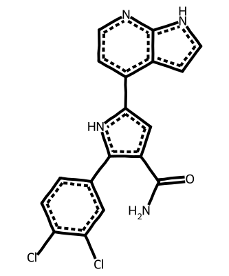 NC(=O)c1cc(-c2ccnc3[nH]ccc23)[nH]c1-c1ccc(Cl)c(Cl)c1